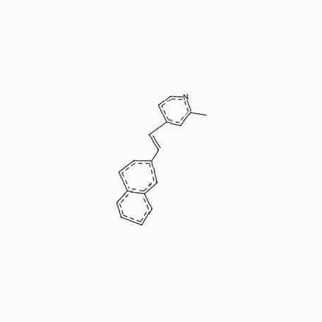 Cc1cc(/C=C/c2ccc3ccccc3c2)ccn1